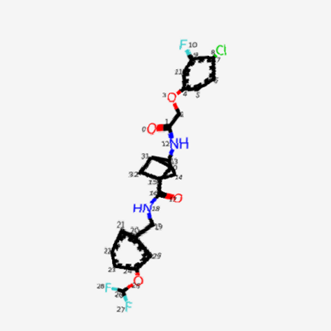 O=C(COc1ccc(Cl)c(F)c1)NC1CC2(C(=O)NCc3cccc(OC(F)F)c3)CC1C2